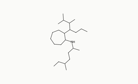 CCCC(C(C)C(C)C)C1CCCCCC1NC(C)CCC(C)CC